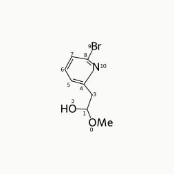 COC(O)Cc1cccc(Br)n1